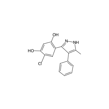 Cc1[nH]nc(-c2cc(Cl)c(O)cc2O)c1-c1ccccc1